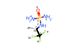 C[C@H](NP(N)(N)=O)C(F)(F)F